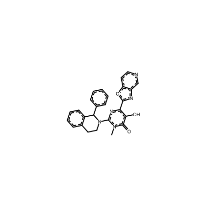 Cn1c(N2CCc3ccccc3C2c2ccccc2)nc(-c2nc3cnccc3o2)c(O)c1=O